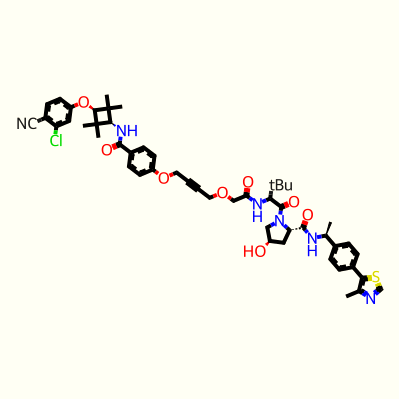 Cc1ncsc1-c1ccc([C@H](C)NC(=O)[C@@H]2C[C@@H](O)CN2C(=O)C(NC(=O)COCC#CCOc2ccc(C(=O)N[C@H]3C(C)(C)[C@H](Oc4ccc(C#N)c(Cl)c4)C3(C)C)cc2)C(C)(C)C)cc1